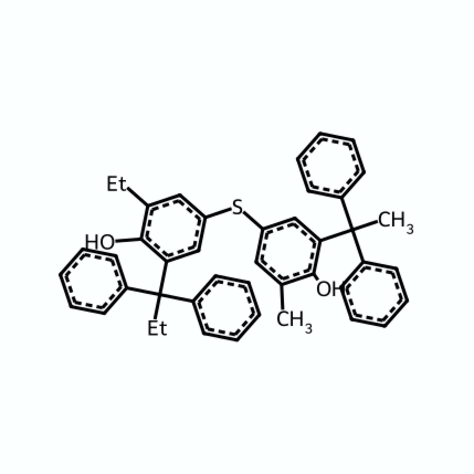 CCc1cc(Sc2cc(C)c(O)c(C(C)(c3ccccc3)c3ccccc3)c2)cc(C(CC)(c2ccccc2)c2ccccc2)c1O